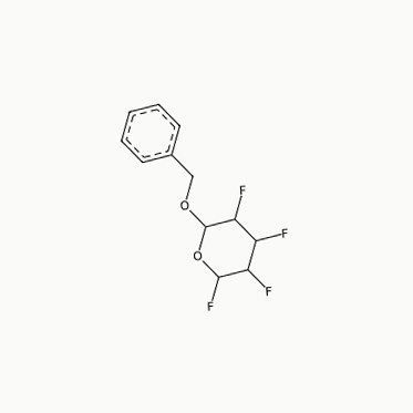 FC1OC(OCc2ccccc2)C(F)C(F)C1F